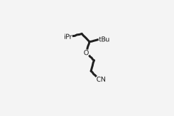 CC(C)CC(OCCC#N)C(C)(C)C